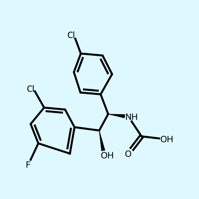 O=C(O)N[C@H](c1ccc(Cl)cc1)[C@@H](O)c1cc(F)cc(Cl)c1